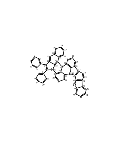 c1ccc(-c2c(-c3ccccc3)n3c4c(c5ccccc5cc24)B2c4c-3cccc4-n3c4c2cccc4c2ccc4c5ccccc5oc4c23)cc1